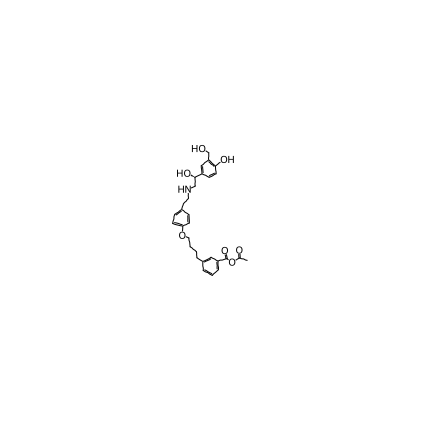 CC(=O)OC(=O)c1cccc(CCCCOc2ccc(CCNC[C@@H](O)c3ccc(O)c(CO)c3)cc2)c1